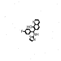 Oc1c(C(Nc2nccs2)c2ccc(F)cc2)ccc2cccnc12